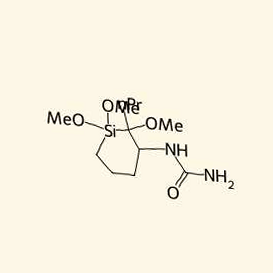 CCCC1(OC)C(NC(N)=O)CCC[Si]1(OC)OC